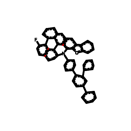 Fc1ccccc1-c1cccc2cccc(-c3ccccc3N(c3ccc(-c4ccc(-c5ccccc5)cc4-c4ccccc4)cc3)c3cccc4c3oc3ccccc34)c12